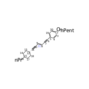 CCCCCOc1ccc(C#C/C=C/C#C[C@H]2CC[C@H](CCC)CC2)cc1